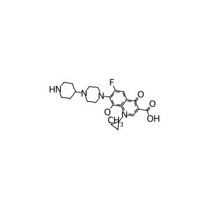 COc1c(N2CCN(C3CCNCC3)CC2)c(F)cc2c(=O)c(C(=O)O)cn(C3CC3)c12